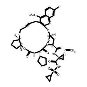 C=C[C@@H]1C[C@]1(NC(=O)[C@@H]1C[C@@H]2CN1C(=O)[C@H](C1CCCC1)NC(=O)O[C@@H]1CCC[C@H]1CC/C=C/Cc1c(nc3cc(Cl)ccc3c1OC)O2)C(=O)NS(=O)(=O)C1CC1